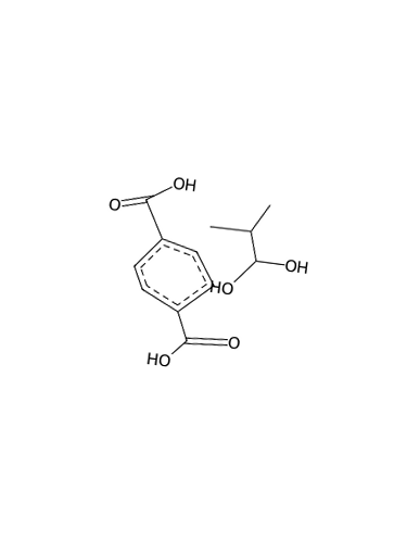 CC(C)C(O)O.O=C(O)c1ccc(C(=O)O)cc1